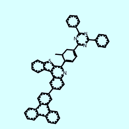 CC1CC(c2nc(-c3ccccc3)nc(-c3ccccc3)n2)=CC=C1c1nc2ccc(-c3ccc4c5ccccc5c5ccccc5c4c3)cc2c2c1sc1ccccc12